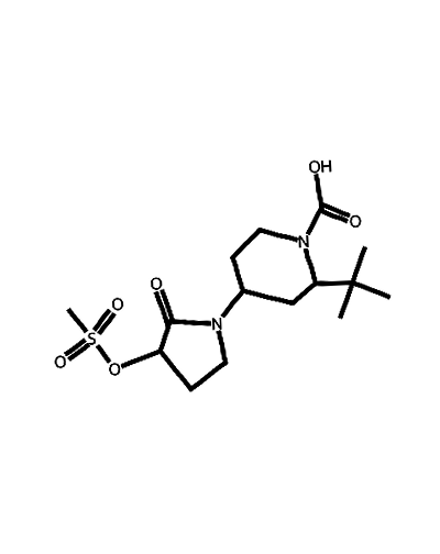 CC(C)(C)C1CC(N2CCC(OS(C)(=O)=O)C2=O)CCN1C(=O)O